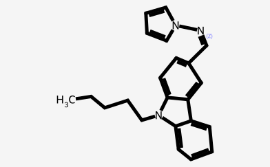 CCCCCn1c2ccccc2c2cc(/C=N\n3cccc3)ccc21